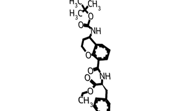 CCOC(=O)[C@H](Cc1ccccc1)NC(=O)c1cccc2c1OCCC2NC(=O)OC(C)(C)C